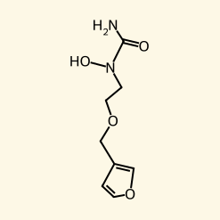 NC(=O)N(O)CCOCc1ccoc1